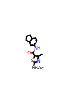 CC(=O)Nc1nc(C)c(C(=O)Nc2ccc3c(c2)CCC3)s1